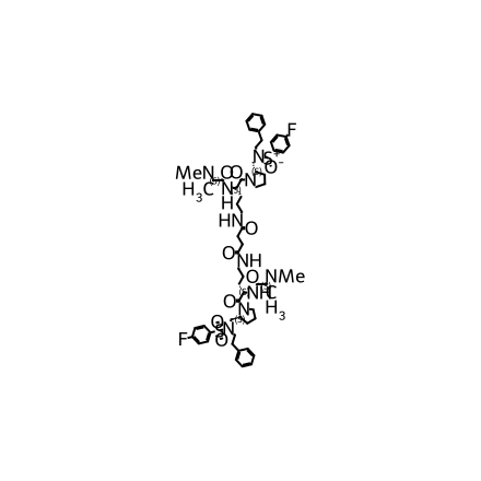 CN[C@@H](C)C(=O)N[C@@H](CCCNC(=O)CCC(=O)NCCC[C@H](NC(=O)[C@H](C)NC)C(=O)N1CCC[C@H]1CN(CCc1ccccc1)S(=O)(=O)c1ccc(F)cc1)C(=O)N1CCC[C@H]1CN(CCc1ccccc1)[S+]([O-])c1ccc(F)cc1